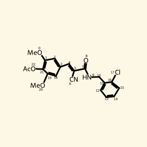 COc1cc(/C=C(\C#N)C(=O)NCc2ccccc2Cl)cc(OC)c1OC(C)=O